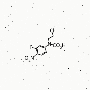 O=C(O)N(CCCl)c1ccc([N+](=O)[O-])c(F)c1